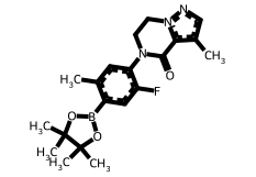 Cc1cc(N2CCn3ncc(C)c3C2=O)c(F)cc1B1OC(C)(C)C(C)(C)O1